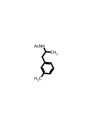 CC(=O)NC(C)Cc1cccc(C)c1